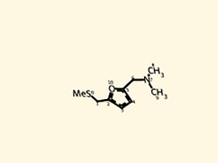 [CH2]SCc1ccc(CN(C)C)o1